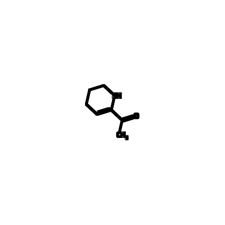 CC(=O)C1=CCCCN1